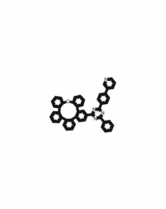 c1ccc(-c2nc(-c3ccc(-c4cccnc4)cc3)nc(-c3ccc4c(c3)-c3ccccc3Oc3ccccc3-c3ccccc3-c3ccccc3-4)n2)cc1